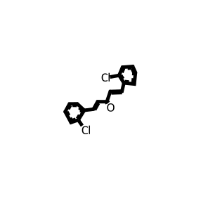 O=C(C=Cc1ccccc1Cl)C=Cc1ccccc1Cl